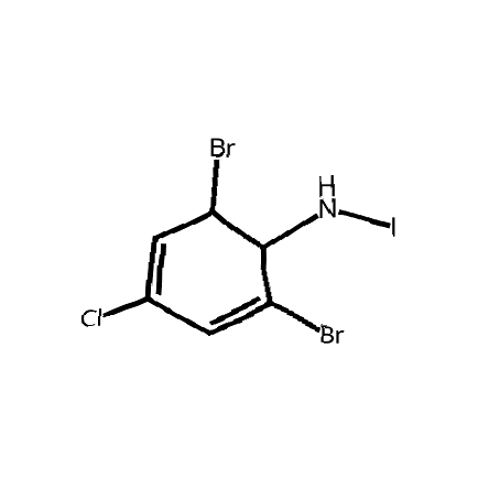 ClC1=CC(Br)C(NI)C(Br)=C1